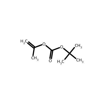 C=C(C)OC(=O)OC(C)(C)C